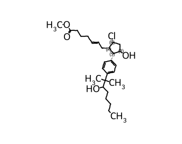 CCCCCC(O)C(C)(C)c1ccc([C@@H]2[C@@H](CC=CCCCC(=O)OC)[C@H](Cl)C[C@H]2O)cc1